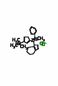 C/[C](c1ccccc1)=[Zr+2](/[C]1=CC([Si](C)(C)C)=CC1)[CH]1C=CC2=C1CCCC2.[Cl-].[Cl-]